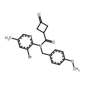 COc1ccc(CN(C(=O)C2CC(=O)C2)c2ncc(C)cc2Br)cc1